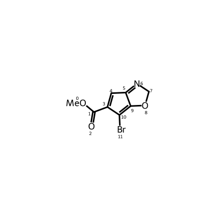 COC(=O)C1=CC2=NCOC2=C1Br